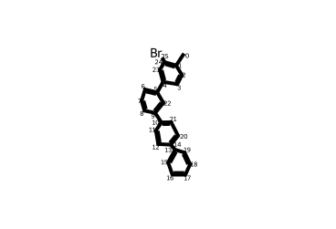 Cc1ccc(-c2cccc(-c3ccc(-c4ccccc4)cc3)c2)cc1Br